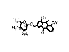 CC1O[C@H](OCc2cc(O)c3c(c2)C(=O)c2cccc(O)c2C3=O)C[C@H](N)[C@H]1C